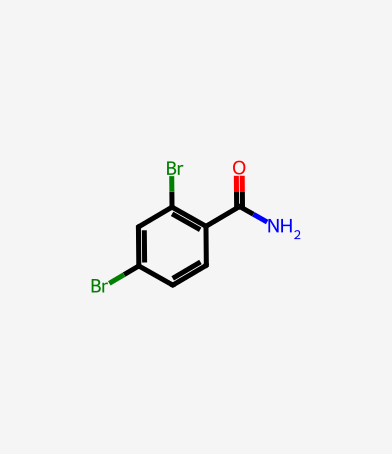 NC(=O)c1ccc(Br)cc1Br